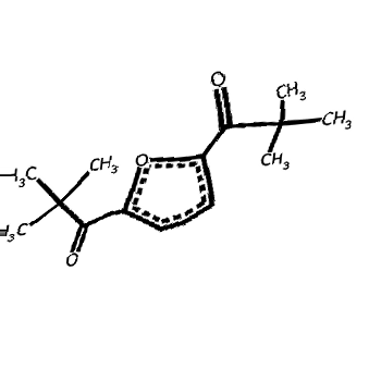 CC(C)(C)C(=O)c1ccc(C(=O)C(C)(C)C)o1